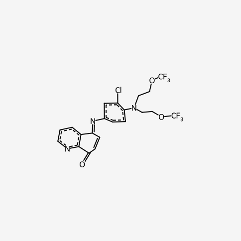 O=C1C=CC(=Nc2ccc(N(CCOC(F)(F)F)CCOC(F)(F)F)c(Cl)c2)c2cccnc21